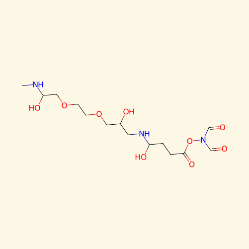 CNC(O)COCCOCC(O)CNC(O)CCC(=O)ON(C=O)C=O